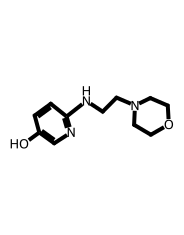 Oc1ccc(NCCN2CCOCC2)nc1